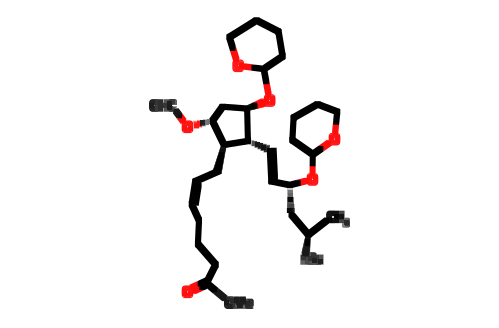 CCCC[C@H](C)C[C@H](/C=C/[C@@H]1[C@@H](C/C=C\CCCC(=O)OC)[C@H](OC=O)C[C@H]1OC1CCCCO1)OC1CCCCO1